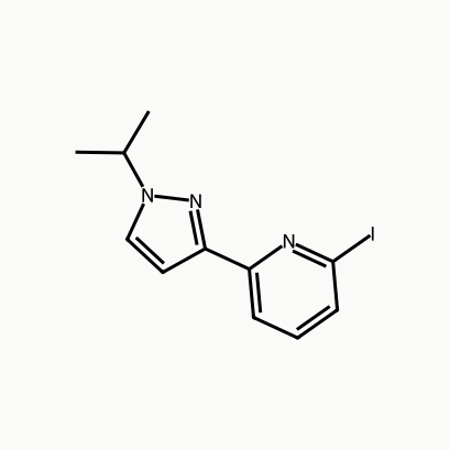 CC(C)n1ccc(-c2cccc(I)n2)n1